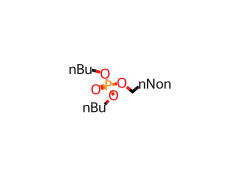 CCCCCCCCCCOP(=O)(OCCCC)OCCCC